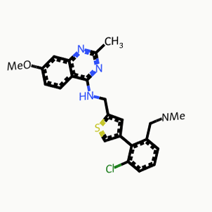 CNCc1cccc(Cl)c1-c1csc(CNc2nc(C)nc3cc(OC)ccc23)c1